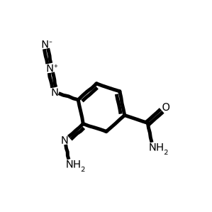 [N-]=[N+]=NC1=CC=C(C(N)=O)CC1=NN